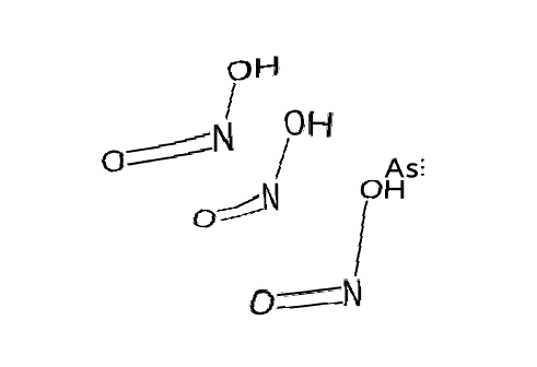 O=NO.O=NO.O=NO.[As]